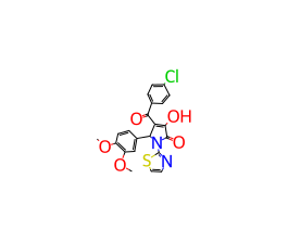 COc1ccc(C2C(C(=O)c3ccc(Cl)cc3)=C(O)C(=O)N2c2nccs2)cc1OC